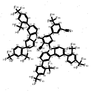 N#Cc1cc(-c2cc(-n3c4ccc(-c5ccc(C(F)(F)F)cc5C(F)(F)F)cc4c4cc(-c5ccc(C(F)(F)F)cc5C(F)(F)F)ccc43)c(C#N)c(-n3c4ccc(-c5ccc(C(F)(F)F)cc5C(F)(F)F)cc4c4cc(-c5ccc(C(F)(F)F)cc5C(F)(F)F)ccc43)c2)cc(C(F)(F)F)c1